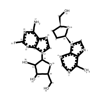 Cc1ncnc2c1ncn2[C@H]1CC[C@@H](CO)O1.Nc1nc(F)nc2c1ncn2C1OC(CO)C(O)C1O